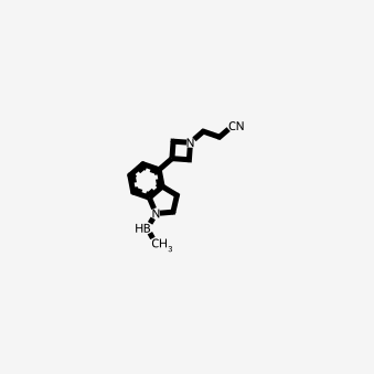 CBN1CCc2c(C3CN(CCC#N)C3)cccc21